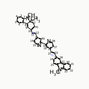 CN1c2ccccc2C2=CC(/C=C/c3ccnc(-c4cc(/C=C/c5ccc6c(c5)c5ccccc5n6C)ccn4)c3)=CCC21C